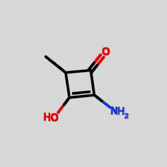 CC1C(=O)C(N)=C1O